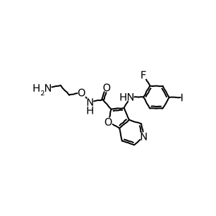 NCCONC(=O)c1oc2ccncc2c1Nc1ccc(I)cc1F